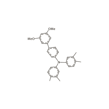 COc1cc(OC)cc(-c2ccc(N(c3ccc(C)c(C)c3)c3ccc(C)c(C)c3)cc2)c1